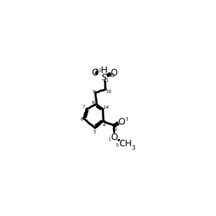 COC(=O)c1cccc(CC[SH](=O)=O)c1